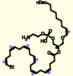 CC/C=C\C/C=C\C/C=C\C/C=C\C/C=C\C/C=C\CCC(=O)O[C@H](CO/C=C\CCCCCCCCCCCCCCCC)COP(=O)(O)OCCN